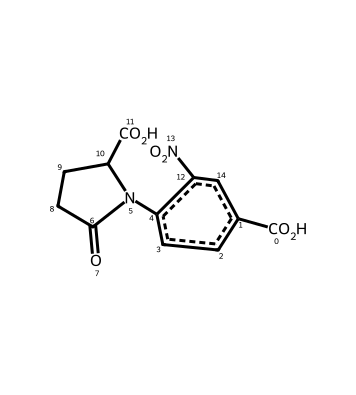 O=C(O)c1ccc(N2C(=O)CCC2C(=O)O)c([N+](=O)[O-])c1